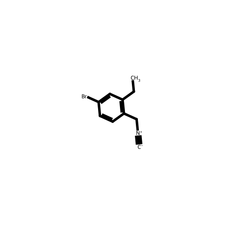 [C-]#[N+]Cc1ccc(Br)cc1CC